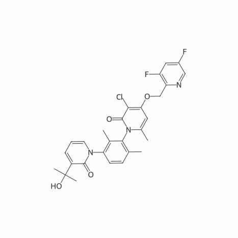 Cc1ccc(-n2cccc(C(C)(C)O)c2=O)c(C)c1-n1c(C)cc(OCc2ncc(F)cc2F)c(Cl)c1=O